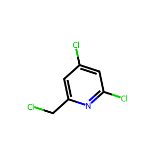 ClCc1cc(Cl)cc(Cl)n1